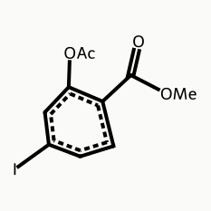 COC(=O)c1ccc(I)cc1OC(C)=O